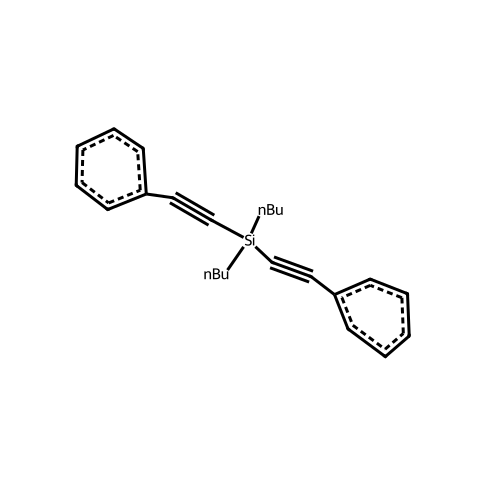 CCCC[Si](C#Cc1ccccc1)(C#Cc1ccccc1)CCCC